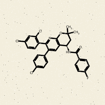 CC1(C)C[C@@H](NC(=O)c2ccc(F)cc2)c2cc(-c3ccc(Cl)cc3)c(-c3ccc(Cl)cc3Cl)nc2O1